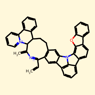 C=C/C1=N/C(=C)C2C(CCc3cc4c(cc31)c1cccc3c5ccc6c7ccccc7oc6c5n4c13)c1ccccc1-c1cccc[n+]12